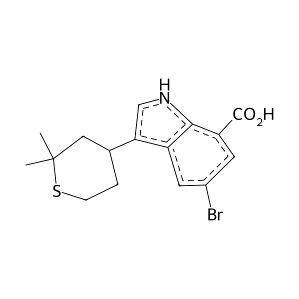 CC1(C)CC(c2c[nH]c3c(C(=O)O)cc(Br)cc23)CCS1